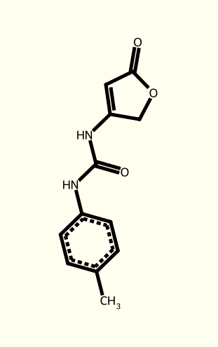 Cc1ccc(NC(=O)NC2=CC(=O)OC2)cc1